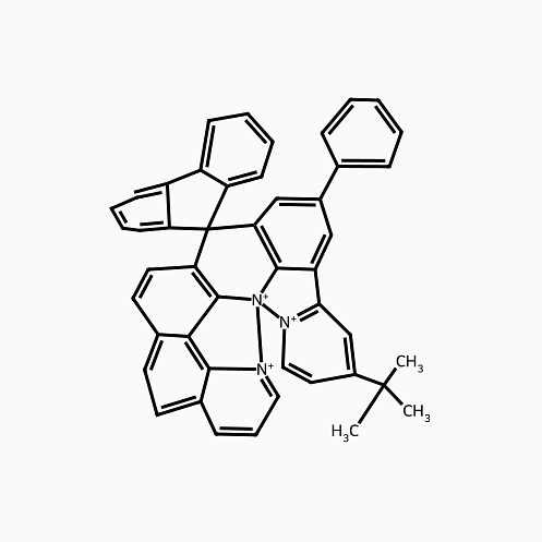 CC(C)(C)c1cc[n+]2c(c1)-c1cc(-c3ccccc3)cc3c1[N+]21c2c(ccc4ccc5ccc[n+]1c5c24)C31c2ccccc2-c2ccccc21